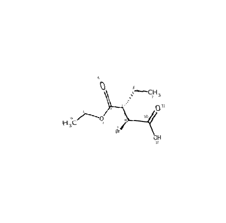 CCOC(=O)[C@H](CC)[C@H](Br)C(=O)O